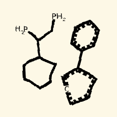 PCC(P)C1CCCCC1.c1ccc(-c2ccccc2)cc1